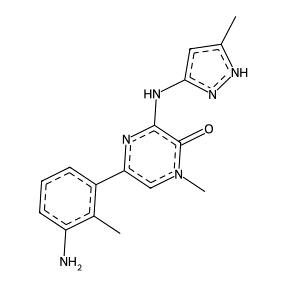 Cc1cc(Nc2nc(-c3cccc(N)c3C)cn(C)c2=O)n[nH]1